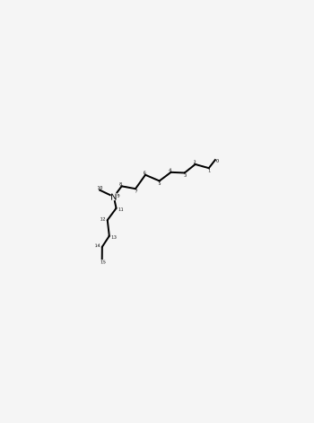 CCCCCCCCCN(C)CCCCC